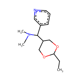 CCC1OCC(C(c2cccnc2)N(C)C)CO1